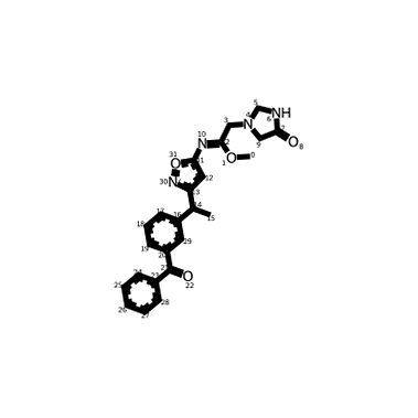 COC(CN1CNC(=O)C1)=Nc1cc(C(C)c2cccc(C(=O)c3ccccc3)c2)no1